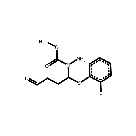 COC(=O)N(N)C(CCC=O)Sc1ccccc1F